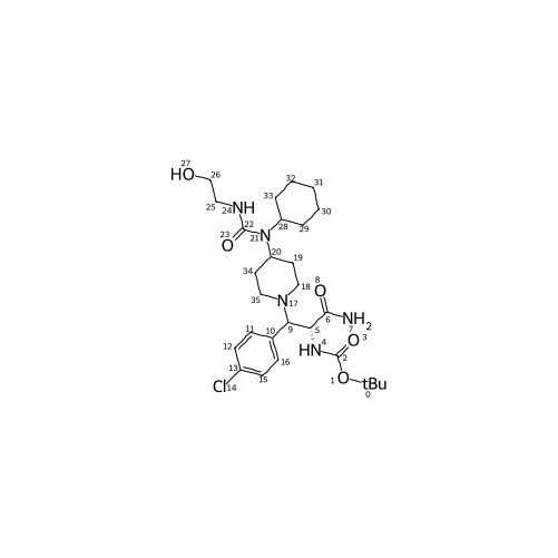 CC(C)(C)OC(=O)N[C@@H](C(N)=O)C(c1ccc(Cl)cc1)N1CCC(N(C(=O)NCCO)C2CCCCC2)CC1